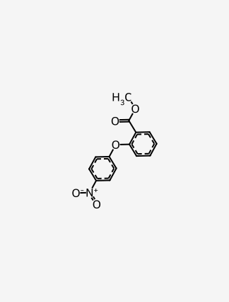 COC(=O)c1ccccc1Oc1ccc([N+](=O)[O-])cc1